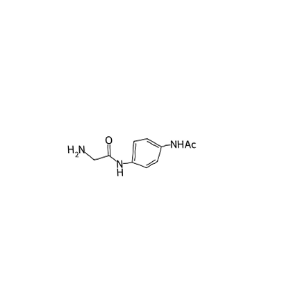 CC(=O)Nc1ccc(NC(=O)CN)cc1